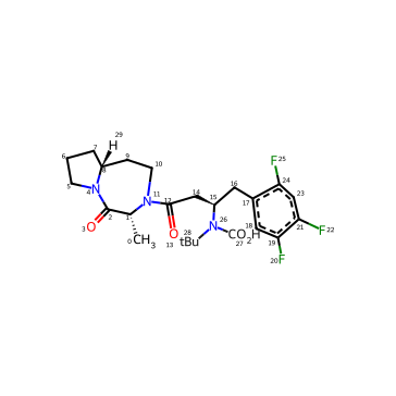 C[C@@H]1C(=O)N2CCC[C@@H]2CCN1C(=O)C[C@@H](Cc1cc(F)c(F)cc1F)N(C(=O)O)C(C)(C)C